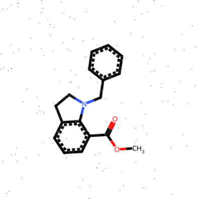 COC(=O)c1cccc2c1N(Cc1ccccc1)CC2